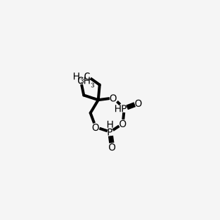 CCC1(CC)CO[PH](=O)O[PH](=O)O1